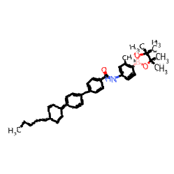 CCCCCC1CCC(c2ccc(-c3ccc(C(=O)Nc4ccc(B5OC(C)(C)C(C)(C)O5)c(C)c4)cc3)cc2)CC1